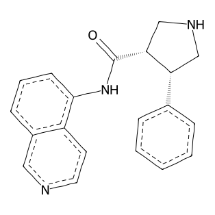 O=C(Nc1cccc2cnccc12)[C@@H]1CNC[C@@H]1c1ccccc1